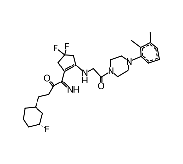 Cc1cccc(N2CCN(C(=O)CNC3=C(C(=N)C(=O)CCC4CCC[C@@H](F)C4)CC(F)(F)C3)CC2)c1C